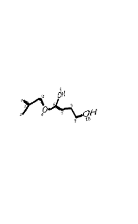 CC(C)COC(O)CCCO